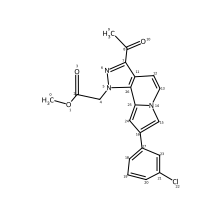 COC(=O)Cn1nc(C(C)=O)c2ccn3cc(-c4cccc(Cl)c4)cc3c21